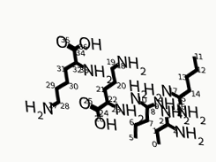 CCC(N)N.CCCC(N)N.CCCCC(N)N.NCCCC(N)C(=O)O.NCCCCC(N)C(=O)O